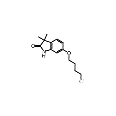 CC1(C)C(=O)Nc2cc(OCCCCCl)ccc21